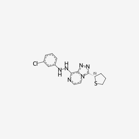 Clc1cccc(NNc2nccn3c([C@@H]4CCCS4)nnc23)c1